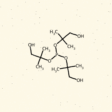 CC(C)(CO)OP(OC(C)(C)CO)OC(C)(C)CO